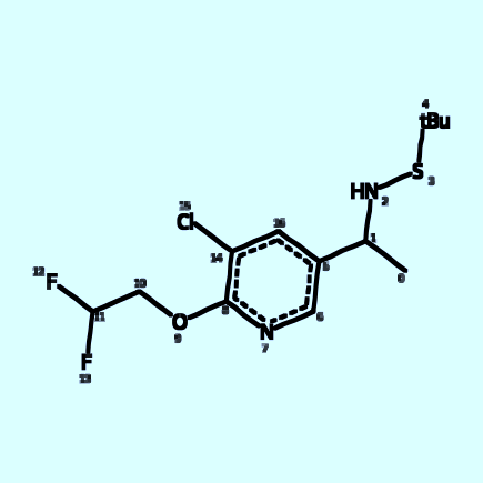 CC(NSC(C)(C)C)c1cnc(OCC(F)F)c(Cl)c1